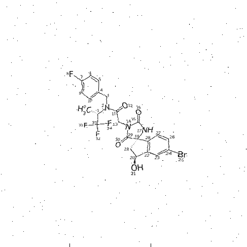 C[C@H](N(Cc1ccc(F)cc1)C(=O)CN1C(=O)N[C@]2(C[C@H](O)c3cc(Br)ccc32)C1=O)C(F)(F)F